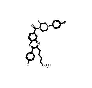 C[C@H]1CN(c2ccc(F)cc2)CCN1C(=O)c1ccc2nc(-c3ccc(Cl)cc3)c(CCCCC(=O)O)nc2c1